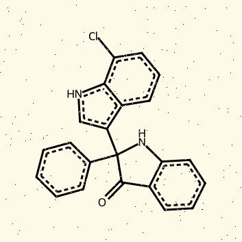 O=C1c2ccccc2NC1(c1ccccc1)c1c[nH]c2c(Cl)cccc12